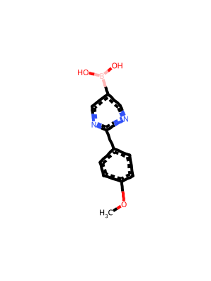 COc1ccc(-c2ncc(B(O)O)cn2)cc1